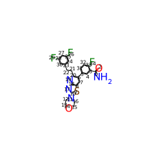 NC(=O)c1cc(-c2cc3sc(N4CCOCC4)nc3nc2CCc2cc(F)cc(F)c2)ccc1F